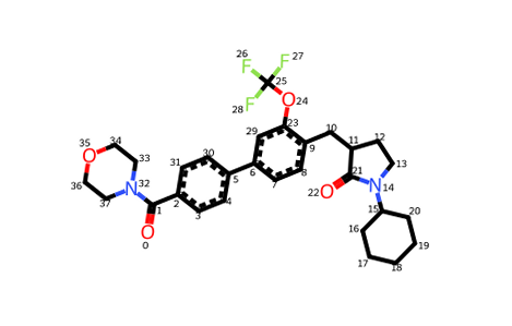 O=C(c1ccc(-c2ccc(CC3CCN(C4CCCCC4)C3=O)c(OC(F)(F)F)c2)cc1)N1CCOCC1